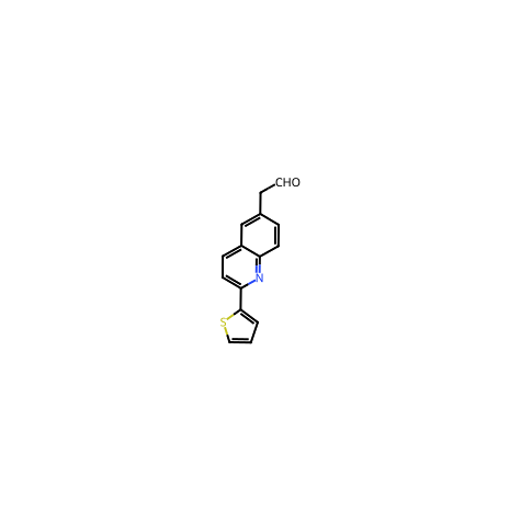 O=CCc1ccc2nc(-c3cccs3)ccc2c1